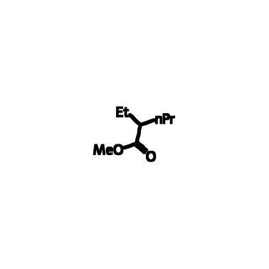 [CH2]CCC(CC)C(=O)OC